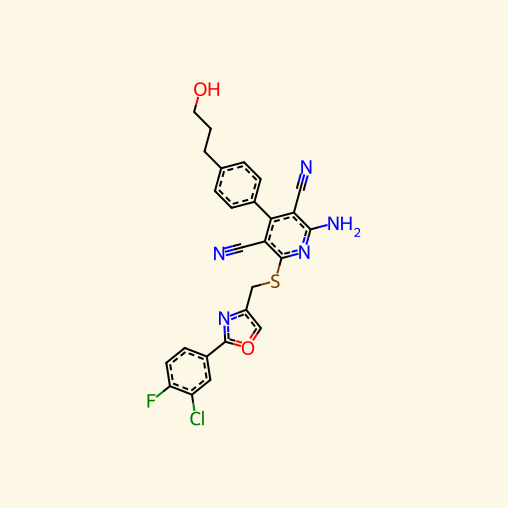 N#Cc1c(N)nc(SCc2coc(-c3ccc(F)c(Cl)c3)n2)c(C#N)c1-c1ccc(CCCO)cc1